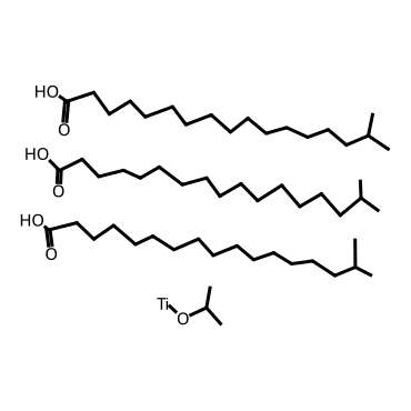 CC(C)CCCCCCCCCCCCCCC(=O)O.CC(C)CCCCCCCCCCCCCCC(=O)O.CC(C)CCCCCCCCCCCCCCC(=O)O.CC(C)[O][Ti]